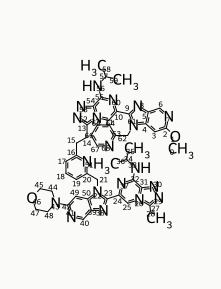 COc1cc2c(cn1)nc(-c1cn3c(CCc4cccc(Cn5c(-c6cn7c(C)nnc7c(NC(C)C)n6)nc6cnc(N7CCOCC7)cc65)n4)nnc3c(NC(C)C)n1)n2Cc1ccccn1